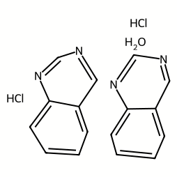 Cl.Cl.O.c1ccc2ncncc2c1.c1ccc2ncncc2c1